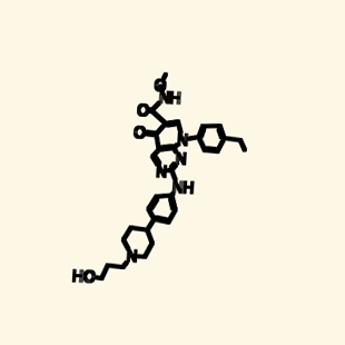 CCc1ccc(-n2cc(C(=O)NOC)c(=O)c3cnc(Nc4ccc(C5CCN(CCCO)CC5)cc4)nc32)cc1